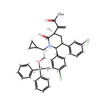 C=C(C(=O)OC)[C@@]1(C)CC(c2cccc(Cl)c2)[C@@H](c2ccc(Cl)cc2)N([C@H](CO[Si](c2ccccc2)(c2ccccc2)C(C)(C)C)C2CC2)C1=O